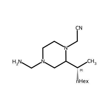 CCCCCC[C@@H](C)C1CN(CN)CCN1CC#N